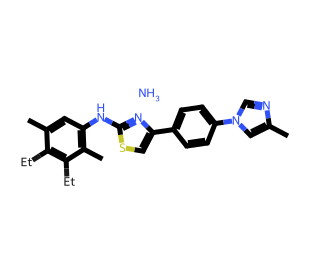 CCc1c(C)cc(Nc2nc(-c3ccc(-n4cnc(C)c4)cc3)cs2)c(C)c1CC.N